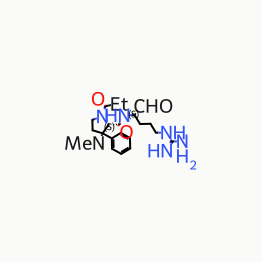 CCC(=O)N1CCC(NC)(c2ccccc2)[C@H]1C(=O)N[C@H](C=O)CCCNC(=N)N